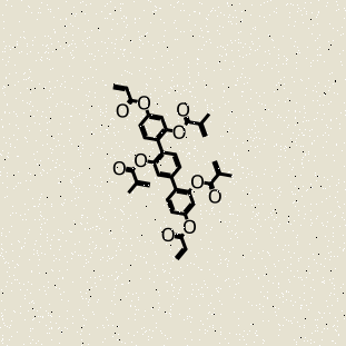 C=CC(=O)Oc1ccc(-c2ccc(-c3ccc(OC(=O)C=C)cc3OC(=O)C(=C)C)c(OC(=O)C(=C)C)c2)c(OC(=O)C(=C)C)c1